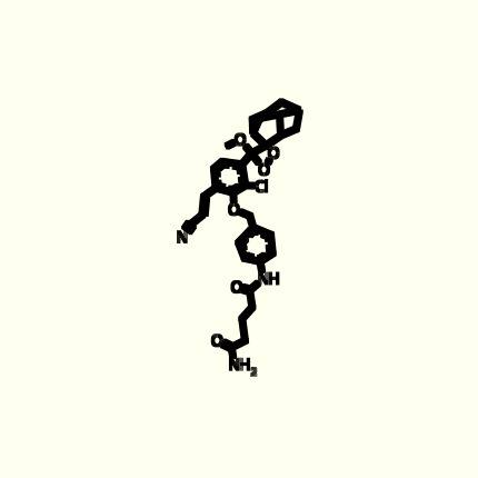 COC1(c2ccc(/C=C/C#N)c(OCc3ccc(NC(=O)CCCC(N)=O)cc3)c2Cl)OOC12C1CC3CC(C1)CC2C3